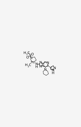 C[C@@H]1CN(S(C)(=O)=O)CC[C@@H]1Nc1nc2cnc(-c3cn[nH]c3)c(N3CCCCC3)n2n1